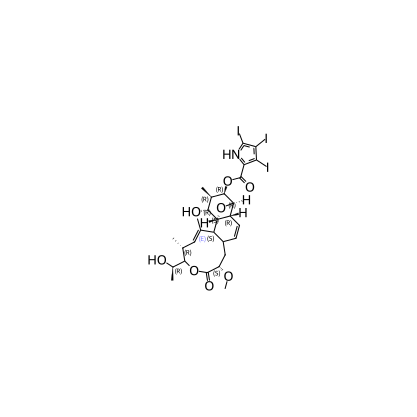 CO[C@H]1CC2C=C[C@H]3[C@H]4O[C@]2(/C(C)=C/[C@@H](C)C([C@@H](C)O)OC1=O)[C@@H]3[C@H](O)[C@@H](C)[C@H]4OC(=O)c1[nH]c(I)c(I)c1I